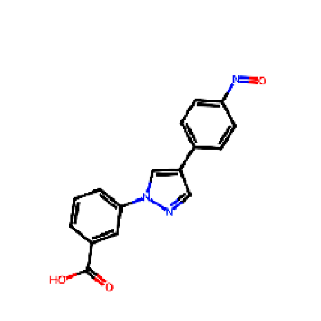 O=Nc1ccc(-c2cnn(-c3cccc(C(=O)O)c3)c2)cc1